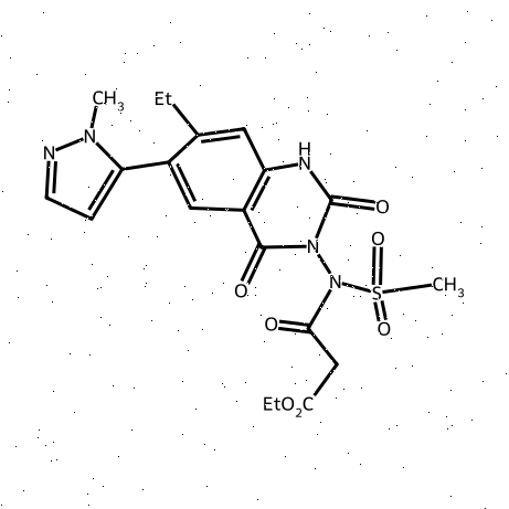 CCOC(=O)CC(=O)N(n1c(=O)[nH]c2cc(CC)c(-c3ccnn3C)cc2c1=O)S(C)(=O)=O